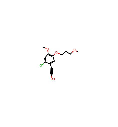 COCCCOc1cc(C#CO)c(Cl)cc1OC